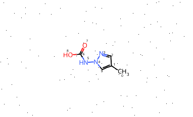 Cc1cnn(NC(=O)O)c1